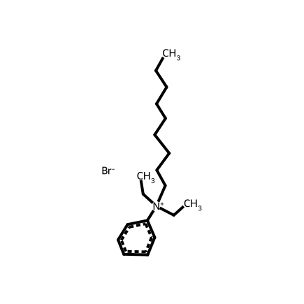 CCCCCCCCC[N+](CC)(CC)c1ccccc1.[Br-]